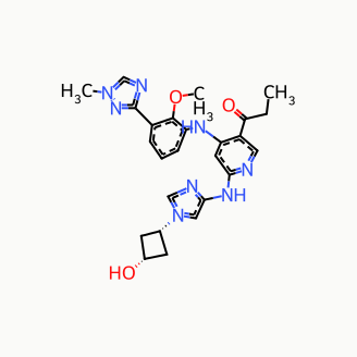 CCC(=O)c1cnc(Nc2cn([C@H]3C[C@@H](O)C3)cn2)cc1Nc1cccc(-c2ncn(C)n2)c1OC